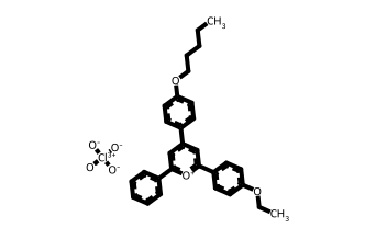 CCCCCOc1ccc(-c2cc(-c3ccccc3)[o+]c(-c3ccc(OCC)cc3)c2)cc1.[O-][Cl+3]([O-])([O-])[O-]